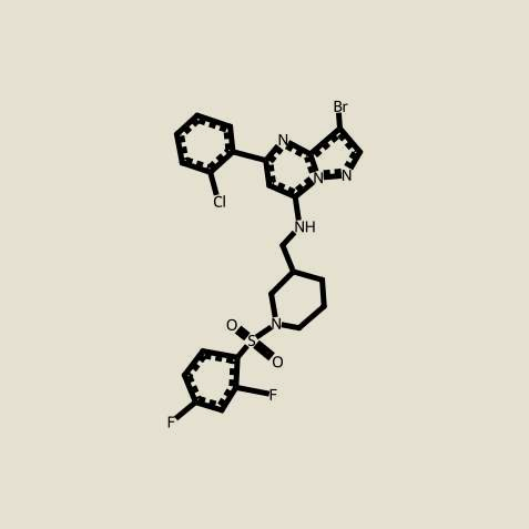 O=S(=O)(c1ccc(F)cc1F)N1CCCC(CNc2cc(-c3ccccc3Cl)nc3c(Br)cnn23)C1